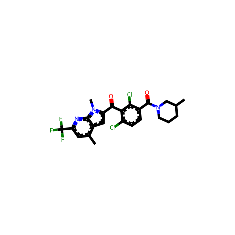 Cc1cc(C(F)(F)F)nc2c1cc(C(=O)c1c(Cl)ccc(C(=O)N3CCCC(C)C3)c1Cl)n2C